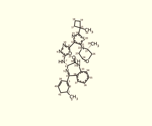 CC1C=C(C2=N[C@H](Nc3nnc(-c4nc(C5(C)CCC5)sc4N4CCOC[C@H]4C)o3)C(=O)Nc3ccccc32)C=CC1